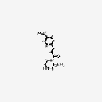 CSc1ccc(C=CC(=O)N2CCNCC2C)cc1